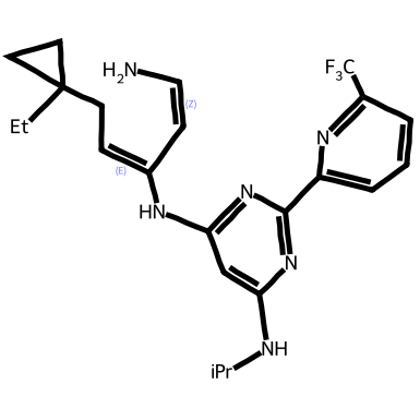 CCC1(C/C=C(\C=C/N)Nc2cc(NC(C)C)nc(-c3cccc(C(F)(F)F)n3)n2)CC1